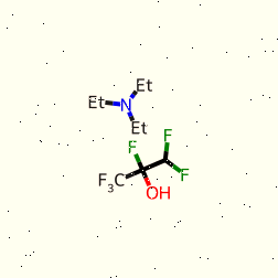 CCN(CC)CC.OC(F)(C(F)F)C(F)(F)F